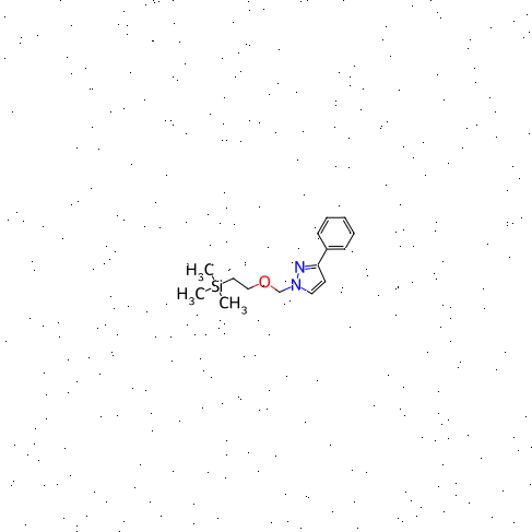 C[Si](C)(C)CCOCn1ccc(-c2ccccc2)n1